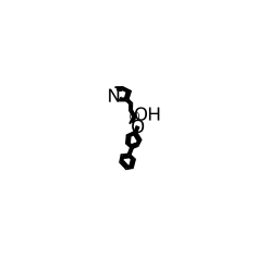 O[C@@H](CCc1cccnc1)COc1ccc(-c2ccccc2)cc1